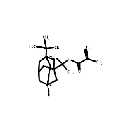 C=C(C)C(=O)OC(C)(C)C12CC3C[C@H](CC(C(C)(C)C#N)(C3)C1)C2